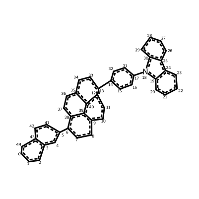 c1ccc2cc(-c3ccc4ccc5c(-c6ccc(-n7c8ccccc8c8ccccc87)cc6)ccc6ccc3c4c65)ccc2c1